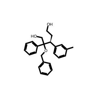 Cc1cccc([C@H](CCO)C(CO)(OCc2ccccc2)c2ccccc2)c1